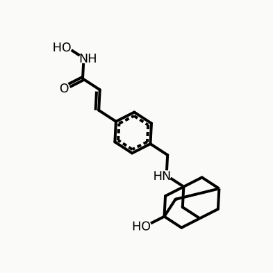 O=C(C=Cc1ccc(CNC23CC4CC(CC(O)(C4)C2)C3)cc1)NO